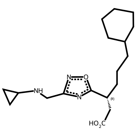 O=C(O)C[C@@H](CCCC1CCCCC1)c1nc(CNC2CC2)no1